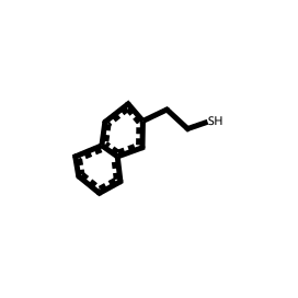 S[CH]Cc1ccc2ccccc2c1